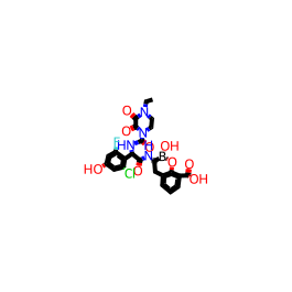 CCN1CCN(C(=O)NC(C(=O)N[C@H]2Cc3cccc(C(=O)O)c3OB2O)c2c(F)cc(O)cc2Cl)C(=O)C1=O